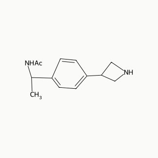 CC(=O)NC(C)c1ccc(C2CNC2)cc1